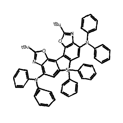 CC(C)(C)c1nc2c(N(c3ccccc3)c3ccccc3)cc3c(c2o1)-c1c(cc(N(c2ccccc2)c2ccccc2)c2nc(C(C)(C)C)oc12)[Si]3(c1ccccc1)c1ccccc1